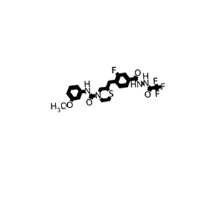 COc1cccc(NC(=O)N2CCSC(Cc3ccc(C(=O)NNC(=O)C(F)(F)F)cc3F)C2)c1